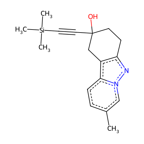 Cc1ccc2c3c(nn2c1)CCC(O)(C#C[Si](C)(C)C)C3